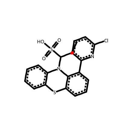 CCC(N1c2ccccc2Sc2cccc(-c3cccc(Cl)n3)c21)S(=O)(=O)O